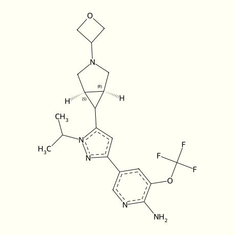 CC(C)n1nc(-c2cnc(N)c(OC(F)(F)F)c2)cc1C1[C@H]2CN(C3COC3)C[C@@H]12